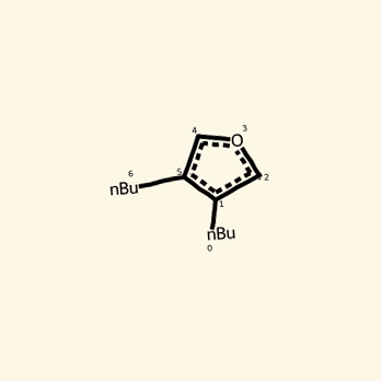 CCCCc1[c]occ1CCCC